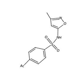 CC(=O)c1ccc(S(=O)(=O)Nc2cc(C)no2)cc1